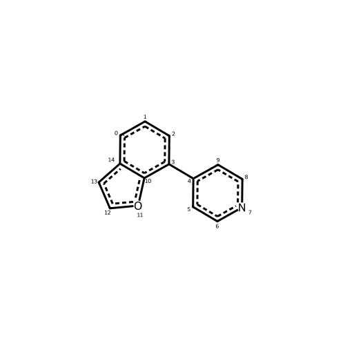 [c]1ccc(-c2ccncc2)c2occc12